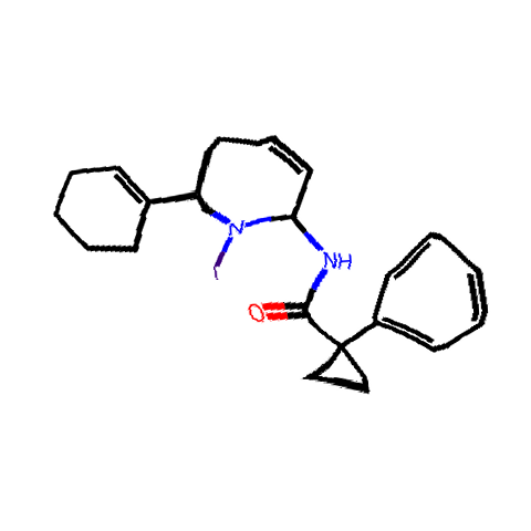 O=C(NC1C=CCC(C2=CCCCC2)N1I)C1(c2ccccc2)CC1